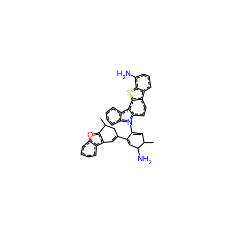 CC1CC(C2=CC(N)C(C)C=C2n2c3ccccc3c3c4sc5c(N)cccc5c4ccc32)=Cc2c1oc1ccccc21